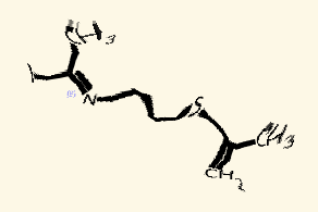 C=C(C)SCC/N=C(\C)I